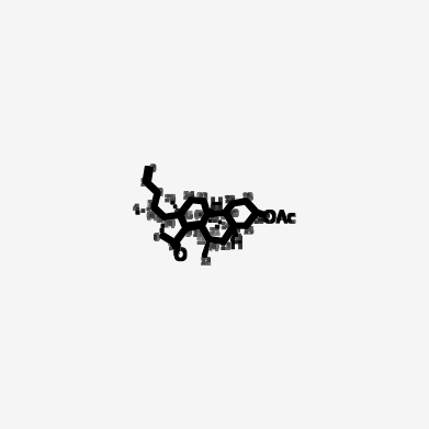 C=CC[C@@H](C)[C@H]1CC(=O)C2=C3[C@H](C)C[C@H]4CC(OC(C)=O)CC[C@]4(C)[C@H]3CC[C@@]21C